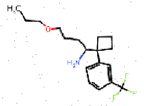 CCCOCCCC(N)C1(c2cccc(C(F)(F)F)c2)CCC1